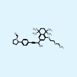 CCOCCOc1cc(C(O)C#Cc2ccc(C3CCCN3C=O)cc2)cc2c1C(C)(C)CCC2(C)C